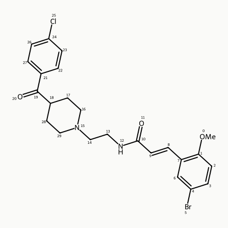 COc1ccc(Br)cc1C=CC(=O)NCCN1CCC(C(=O)c2ccc(Cl)cc2)CC1